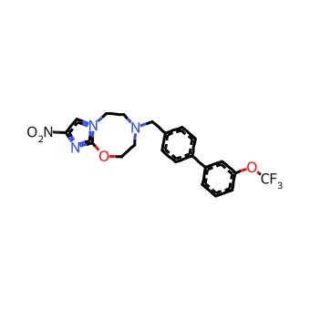 O=[N+]([O-])c1cn2c(n1)OCCN(Cc1ccc(-c3cccc(OC(F)(F)F)c3)cc1)CC2